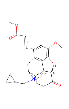 COC(=O)/C=C/c1cc(OC)c2c3c1CC1C4CCC(=O)[C@H](O2)[C@]34CCN1CC1CC1